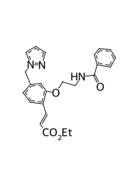 CCOC(=O)C=Cc1ccc(Cn2cccn2)cc1OCCNC(=O)c1ccccc1